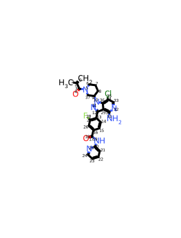 C=C(C)C(=O)N1CCCC(n2nc(-c3ccc(C(=O)Nc4ccccn4)cc3F)c3c(N)ncc(Cl)c32)C1